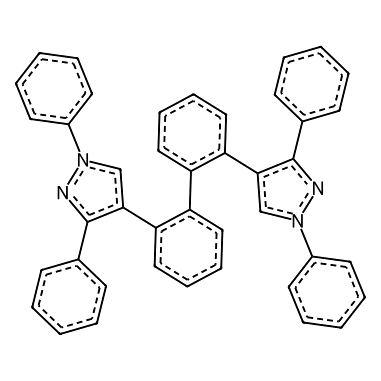 c1ccc(-c2nn(-c3ccccc3)cc2-c2ccccc2-c2ccccc2-c2cn(-c3ccccc3)nc2-c2ccccc2)cc1